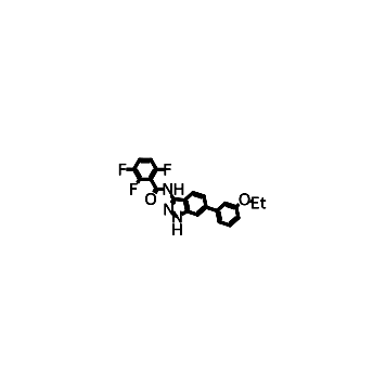 CCOc1cccc(-c2ccc3c(NC(=O)c4c(F)ccc(F)c4F)n[nH]c3c2)c1